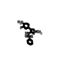 Cc1ccc(-c2cn(C)nc2NS(=O)(=O)c2ccccc2)cc1F